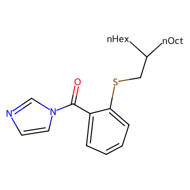 CCCCCCCCC(CCCCCC)CSc1ccccc1C(=O)n1ccnc1